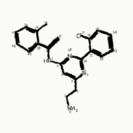 C=C(Nc1cc(CCN)nc(-c2ccccc2Cl)n1)c1ccccc1C